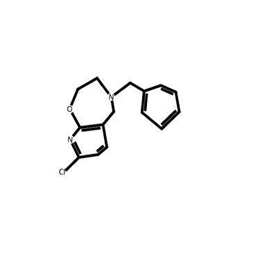 Clc1ccc2c(n1)OCCN(Cc1ccccc1)C2